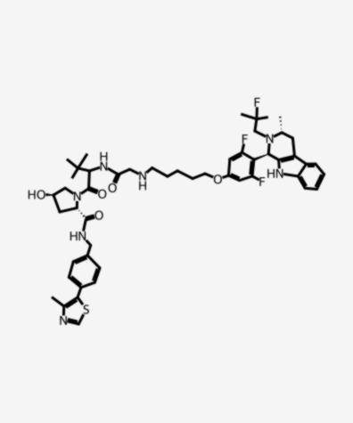 Cc1ncsc1-c1ccc(CNC(=O)[C@@H]2C[C@@H](O)CN2C(=O)C(NC(=O)CNCCCCCOc2cc(F)c([C@@H]3c4[nH]c5ccccc5c4C[C@@H](C)N3CC(C)(C)F)c(F)c2)C(C)(C)C)cc1